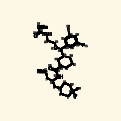 CNC[C@H](CC1CCC(F)(F)CC1)NC(=O)N1CCC[C@@H]([C@@H](OCCNC(=O)OC)c2cc(F)cc(F)c2)C1